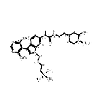 COc1ncnc(OC)c1-c1cn(COCC[Si](C)(C)C)c2nc(NC(=O)NCCN3CCN(C(=O)O)C(C(C)(C)C)C3)ccc12